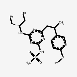 CC(C)C[C@H](CO)Nc1nc(CC(C)c2ccc(OC(C)C)nc2)nc(NS(C)(=O)=O)n1